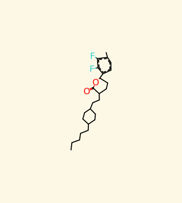 CCCCCC1CCC(CCC2CCC(c3ccc(C)c(F)c3F)OC2=O)CC1